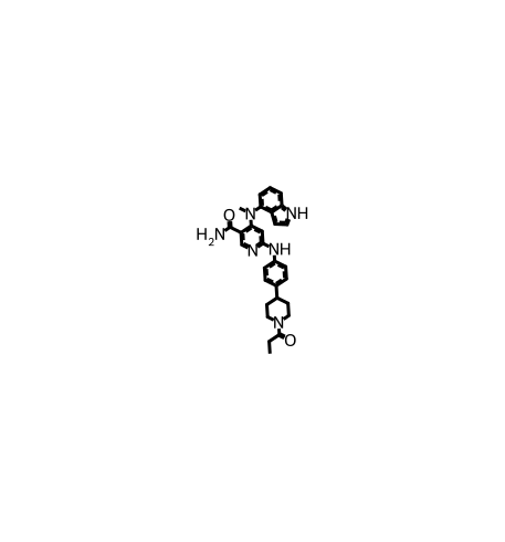 CCC(=O)N1CCC(c2ccc(Nc3cc(N(C)c4cccc5[nH]ccc45)c(C(N)=O)cn3)cc2)CC1